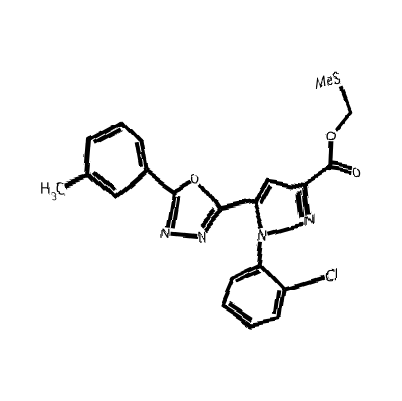 CSCOC(=O)c1cc(-c2nnc(-c3cccc(C)c3)o2)n(-c2ccccc2Cl)n1